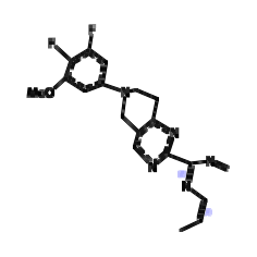 C=N/C(=N\C=C/C)c1ncc2c(n1)CCN(c1cc(F)c(F)c(OC)c1)C2